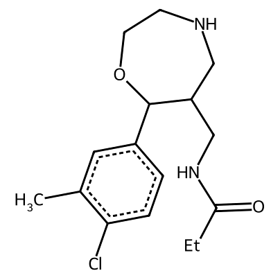 CCC(=O)NCC1CNCCOC1c1ccc(Cl)c(C)c1